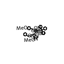 COc1ccc(CO[C@@H]2[C@@H](O)[C@@H](COC(c3ccccc3)(c3ccccc3)c3ccccc3)N(C(C)(C)C)[C@H]2c2cn(COCc3ccccc3)c3c(OC)ncnc23)cc1